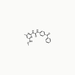 CONc1cc(C)nc(NC(=O)Nc2ccc(C(=O)c3ccccc3)cc2)n1